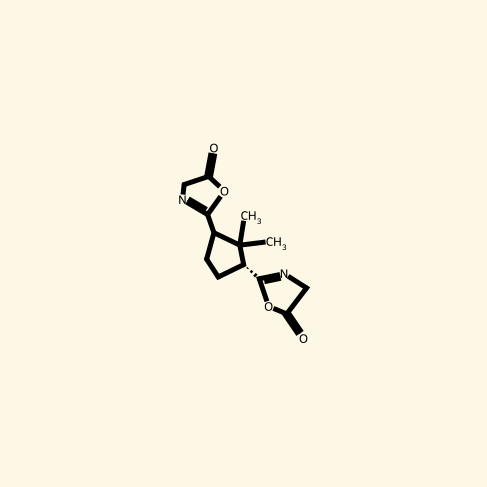 CC1(C)C(C2=NCC(=O)O2)CC[C@H]1C1=NCC(=O)O1